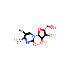 CCC1=CN([C@@H]2O[C@H](CO)C(O)C2O)C(O)N=C1N